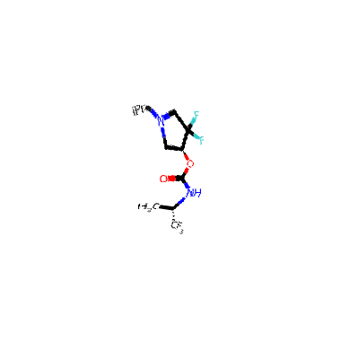 CC(C)N1C[C@H](OC(=O)N[C@@H](C)C(F)(F)F)C(F)(F)C1